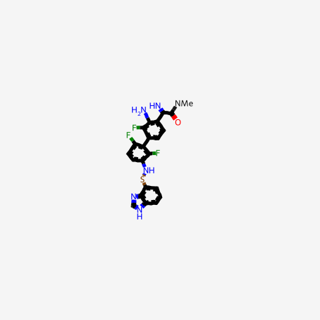 CNC(=O)C(=N)c1ccc(-c2c(F)ccc(NSc3cccc4[nH]cnc34)c2F)c(F)c1N